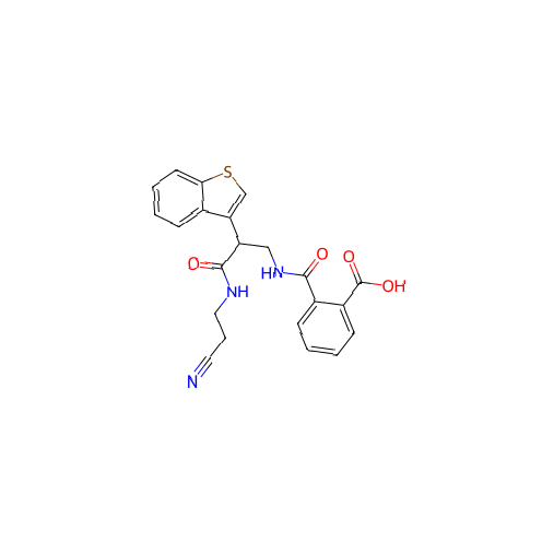 N#CCCNC(=O)C(CNC(=O)c1ccccc1C(=O)O)c1csc2ccccc12